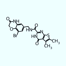 Cc1sc2nc(C(=O)NCc3cc(Br)c4c(c3)NC(=O)CO4)[nH]c(=O)c2c1C